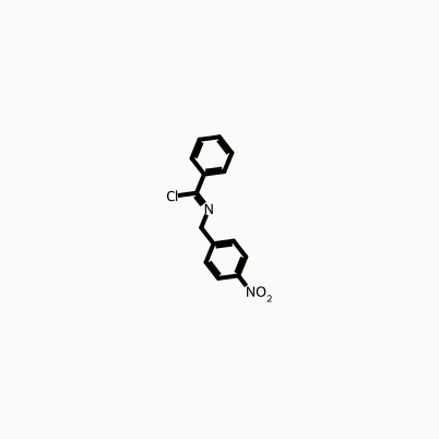 O=[N+]([O-])c1ccc(C/N=C(\Cl)c2ccccc2)cc1